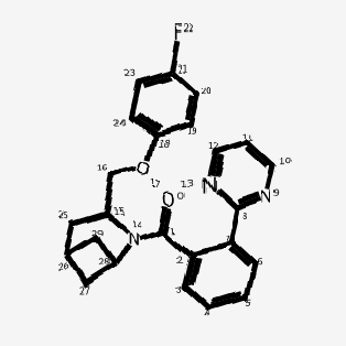 O=C(c1ccccc1-c1ncccn1)N1C(COc2ccc(F)cc2)CC2CC1C2